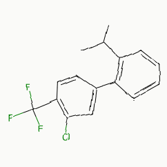 CC(C)c1ccc[c]c1-c1ccc(C(F)(F)F)c(Cl)c1